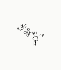 CC(C)(C)OC(=O)N[C@@H]1CNC[C@H]1CF